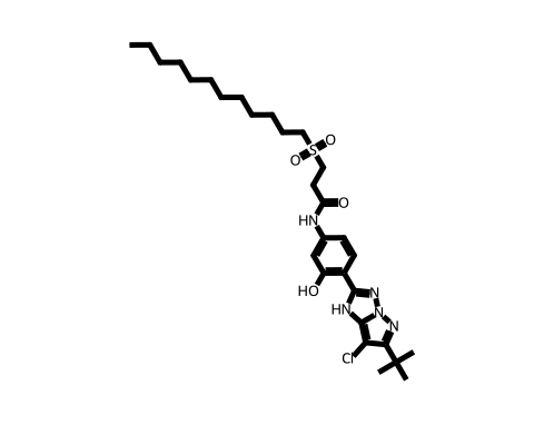 CCCCCCCCCCCCS(=O)(=O)CCC(=O)Nc1ccc(-c2nn3nc(C(C)(C)C)c(Cl)c3[nH]2)c(O)c1